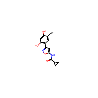 CC(C)c1cc(-c2cc(NC(=O)C3CC3)on2)c(O)cc1O